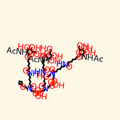 CC(=O)NC1C(OCCCCCC(=O)NCCCCCC(=O)N(CCO)CCOP(=O)(O)OCCN(CCOP(=O)(O)OCCN(CCOC2CCC2)C(=O)CCCCCNC(=O)CCCCCOC2OC(CO)C(O)C(O)C2NC(C)=O)C(=O)CCCCCNC(=O)CCCCCOC2OC(CO)C(O)C(O)C2NC(C)=O)OC(CO)C(O)C1O